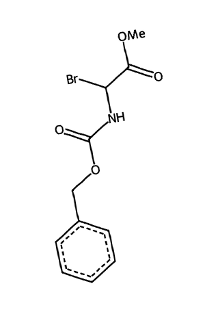 COC(=O)C(Br)NC(=O)OCc1ccccc1